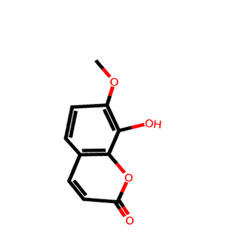 COc1ccc2ccc(=O)oc2c1O